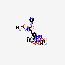 CC(=O)Nc1nc(CCc2ccc(NC(N(C(=O)O)C(C)(C)C)N(C(=O)O)C(C)(C)C)cc2)c(C(=O)NCc2ccncc2)s1